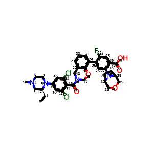 CC[C@@H]1CN(C)CCN1c1cc(Cl)c(C(=O)N2COc3c(cccc3-c3cc(N4C5CCC4COC5)c(C(=O)O)cc3F)C2)c(Cl)c1